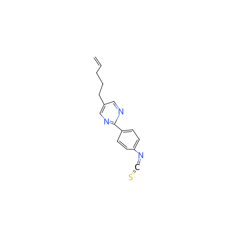 C=CCCCc1cnc(-c2ccc(N=C=S)cc2)nc1